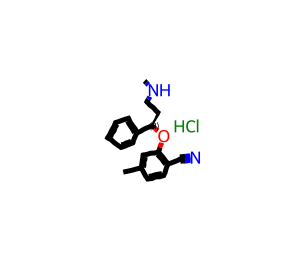 CNCC[C@@H](Oc1cc(C)ccc1C#N)c1ccccc1.Cl